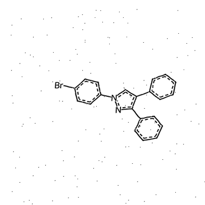 Brc1ccc(-n2cc(-c3ccccc3)c(-c3ccccc3)n2)cc1